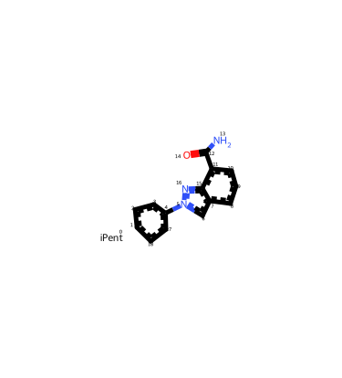 CCC[C@H](C)c1ccc(-n2cc3cccc(C(N)=O)c3n2)cc1